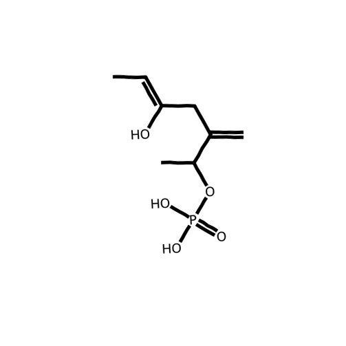 C=C(CC(O)=CC)C(C)OP(=O)(O)O